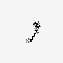 CC(CCCCNC(=O)O[C@@H]1CO[C@H]2[C@@H]1OC[C@H]2O)ON(O)O